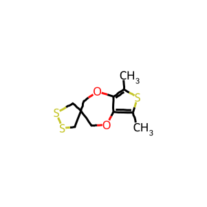 Cc1sc(C)c2c1OCC1(CO2)CSSC1